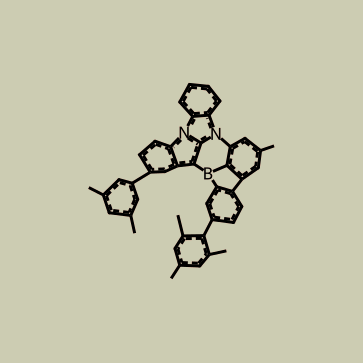 Cc1cc(C)cc(-c2ccc3c(c2)c2c4n(c5ccccc5n34)-c3cc(C)cc4c3B2c2cc(-c3c(C)cc(C)cc3C)ccc2-4)c1